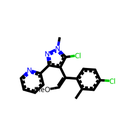 CO/C=C(/c1ccc(Cl)cc1C)c1c(-c2ccccn2)nn(C)c1Cl